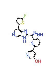 Oc1cncc(-c2ccc3[nH]nc(-c4nc5c(-c6ccc(F)s6)cncc5[nH]4)c3n2)c1